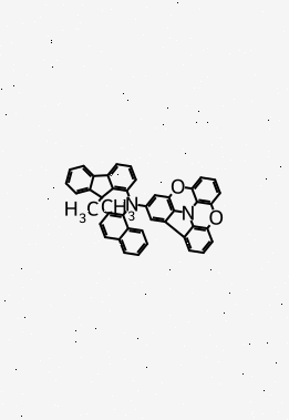 CC1(C)c2ccccc2-c2cccc(N(c3cc4c5c(c3)c3cccc6c3n5-c3c(cccc3O4)O6)c3cccc4ccccc34)c21